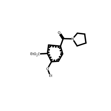 CCOC(=O)c1cc(C(=O)N2CCCC2)ccc1OCC